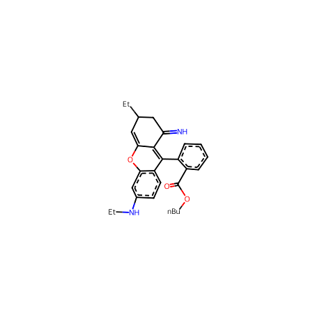 CCCCOC(=O)c1ccccc1C1=C2C(=N)CC(CC)C=C2Oc2cc(NCC)ccc21